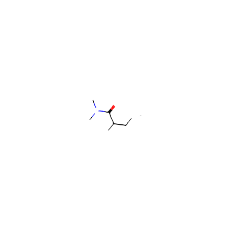 CCCCCCCCC(C(=O)N(C)C)C(F)(F)F